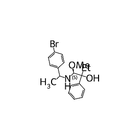 CCC(O)(c1ccccc1)[C@@H](NC(C)c1ccc(Br)cc1)OC